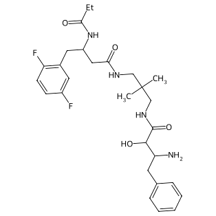 CCC(=O)NC(CC(=O)NCC(C)(C)CNC(=O)C(O)C(N)Cc1ccccc1)Cc1cc(F)ccc1F